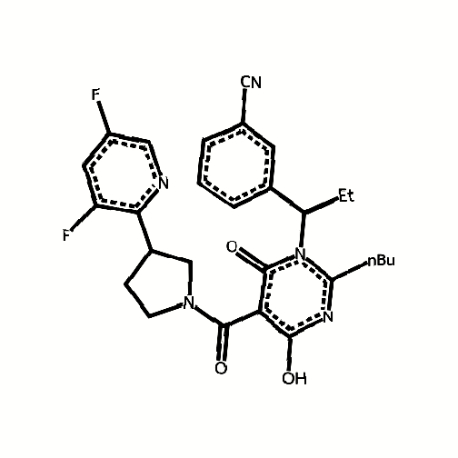 CCCCc1nc(O)c(C(=O)N2CCC(c3ncc(F)cc3F)C2)c(=O)n1C(CC)c1cccc(C#N)c1